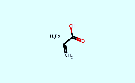 C=CC(=O)O.[PoH2]